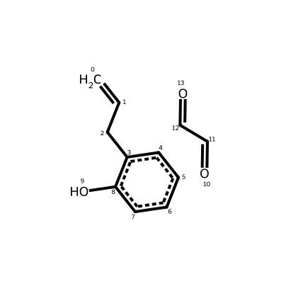 C=CCc1ccccc1O.O=CC=O